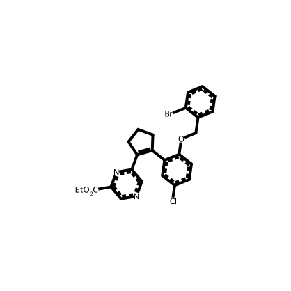 CCOC(=O)c1cncc(C2=C(c3cc(Cl)ccc3OCc3ccccc3Br)CCC2)n1